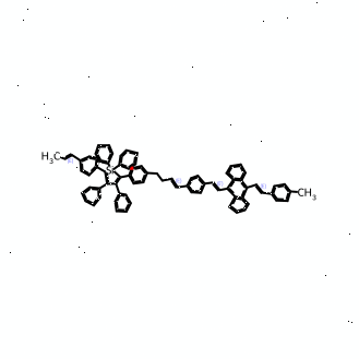 C/C=C/c1ccc(C2=C(c3ccccc3)C(c3ccccc3)=C(c3ccc(CC/C=C/c4ccc(/C=C/c5c6ccccc6c(/C=C/c6ccc(C)cc6)c6ccccc56)cc4)cc3)[Si]2(c2ccccc2)c2ccccc2)cc1